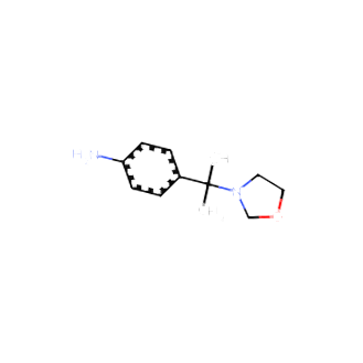 CC(C)(c1ccc(N)cc1)N1CCOC1